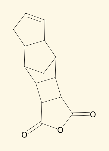 O=C1OC(=O)C2C1C1C3CC(C4CC=CC43)C21